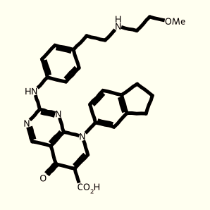 COCCNCCc1ccc(Nc2ncc3c(=O)c(C(=O)O)cn(-c4ccc5c(c4)CCC5)c3n2)cc1